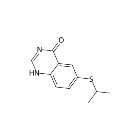 CC(C)Sc1ccc2[nH]cnc(=O)c2c1